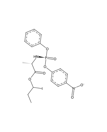 CCC(I)OC(=O)[C@H](C)N[P@](=O)(Oc1ccccc1)Oc1ccc([N+](=O)[O-])cc1